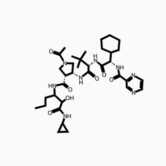 CCCC(NC(=O)[C@@H]1CN(C(C)=O)C[C@@H]1NC(=O)[C@@H](NC(=O)[C@@H](NC(=O)c1cnccn1)C1CCCCC1)C(C)(C)C)C(O)C(=O)NC1CC1